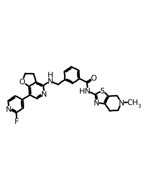 CN1CCc2nc(NC(=O)c3cccc(CNc4ncc(-c5ccnc(F)c5)c5c4CCO5)c3)sc2C1